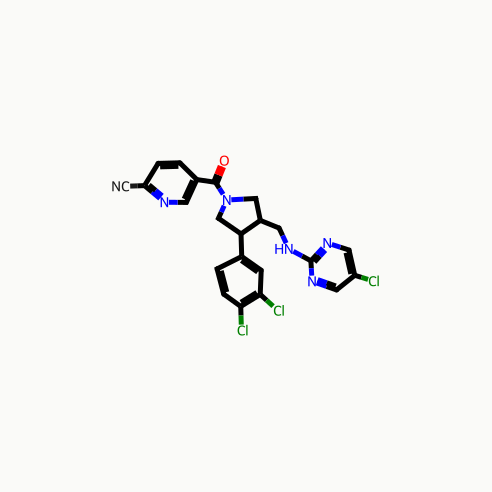 N#Cc1ccc(C(=O)N2CC(CNc3ncc(Cl)cn3)C(c3ccc(Cl)c(Cl)c3)C2)cn1